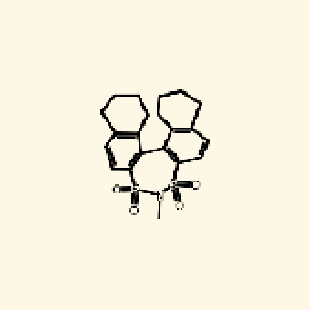 CN1S(=O)(=O)c2ccc3c(c2-c2c(ccc4c2CCCC4)S1(=O)=O)CCCC3